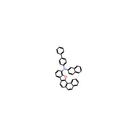 c1ccc(-c2ccc(N(c3ccc4ccccc4c3)c3cccc4c3oc3c4ccc4ccc5ccccc5c43)cc2)cc1